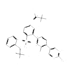 Nc1ncc(-c2ccc(-c3ccccc3S(=O)(=O)N[C@@H](c3ccccc3)C(F)(F)F)cc2F)cn1.O=C(O)C(F)(F)F